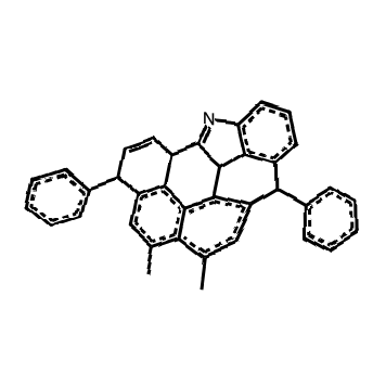 Cc1cc2c3c4c5c(cc(C)c14)C(c1ccccc1)c1cccc4c1C5C(=N4)C3C=CC2c1ccccc1